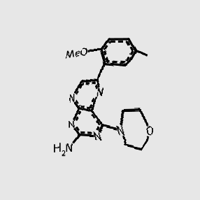 COc1ccc(C)cc1-c1cnc2nc(N)nc(N3CCOCC3)c2n1